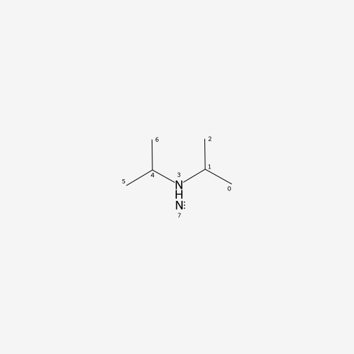 CC(C)NC(C)C.[N]